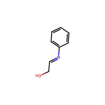 OCC=Nc1ccccc1